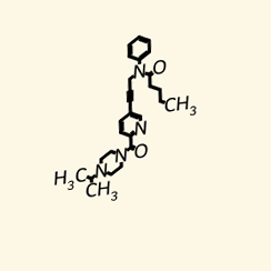 CCCCC(=O)N(CC#Cc1ccc(C(=O)N2CCN(C(C)C)CC2)nc1)c1ccccc1